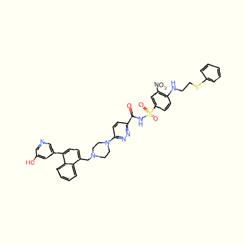 O=C(NS(=O)(=O)c1ccc(NCCSc2ccccc2)c([N+](=O)[O-])c1)c1ccc(N2CCN(Cc3ccc(-c4cncc(O)c4)c4ccccc34)CC2)nn1